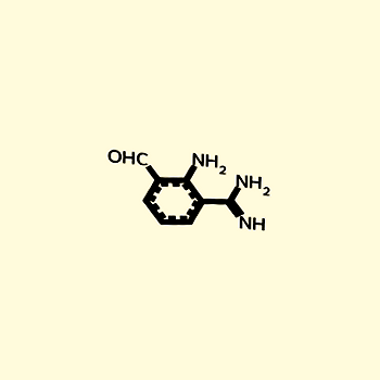 N=C(N)c1cccc(C=O)c1N